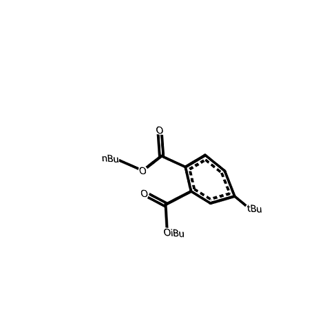 CCCCOC(=O)c1ccc(C(C)(C)C)cc1C(=O)OCC(C)C